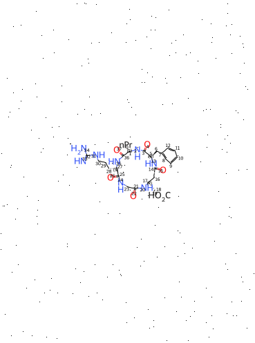 CCC[C@@H]1NC(=O)[C@@H](Cc2ccccc2)NC(=O)C[C@H](CC(=O)O)NC(=O)CNC(=O)[C@H](CCCNC(=N)N)NC1=O